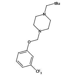 CC(C)(C)CN1CCN(COc2cccc(C(F)(F)F)c2)CC1